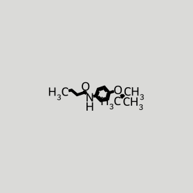 CCCC(=O)Nc1ccc(OC(C)(C)C)cc1